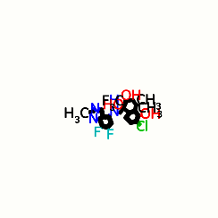 Cc1ncc2c(NCC3(O)c4ccc(Cl)c(O)c4C(C)(C)CC3(O)C(F)(F)F)cc(F)c(F)c2n1